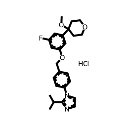 COC1(c2cc(F)cc(OCc3ccc(-n4ccnc4C(C)C)cc3)c2)CCOCC1.Cl